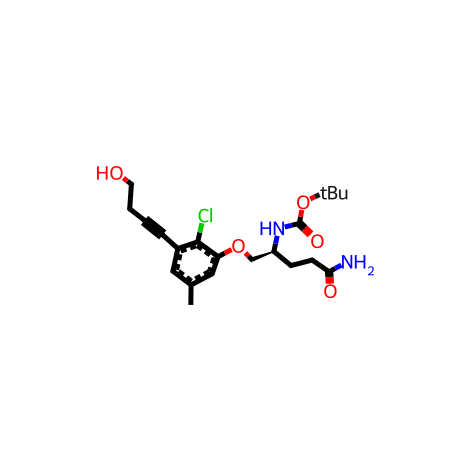 Cc1cc(C#CCCO)c(Cl)c(OC[C@H](CCC(N)=O)NC(=O)OC(C)(C)C)c1